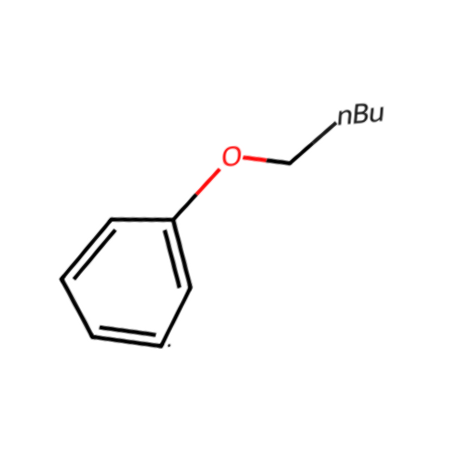 CCCCCOc1c[c]ccc1